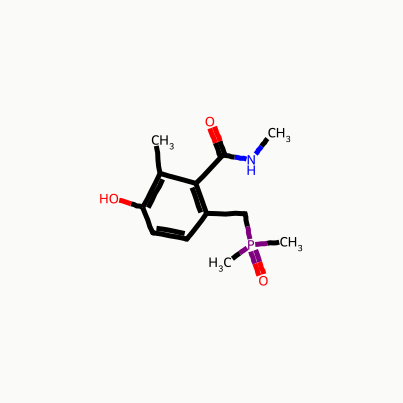 CNC(=O)c1c(CP(C)(C)=O)ccc(O)c1C